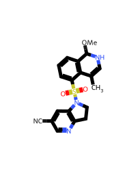 COC1NC=C(C)c2c1cccc2S(=O)(=O)N1CCc2ncc(C#N)cc21